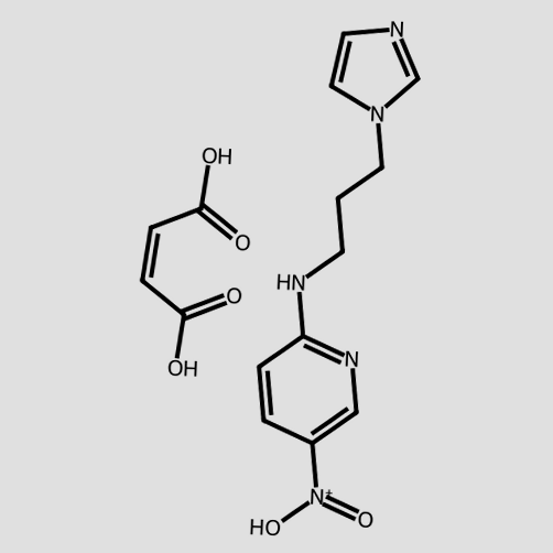 O=C(O)/C=C\C(=O)O.O=[N+](O)c1ccc(NCCCn2ccnc2)nc1